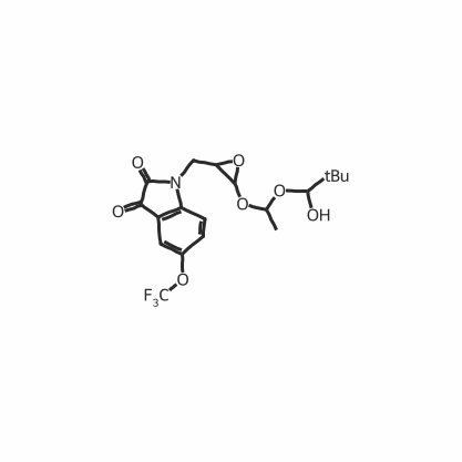 CC(OC1OC1CN1C(=O)C(=O)c2cc(OC(F)(F)F)ccc21)OC(O)C(C)(C)C